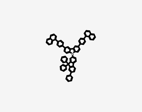 c1ccc(-c2ccc3c(c2)C(c2ccccc2)(c2ccccc2)c2cc(-n4c5ccc(-c6ccc(-c7cccc8ccccc78)cc6)cc5c5cc(-c6ccc(-c7cccc8ccccc78)cc6)ccc54)ccc2-3)cc1